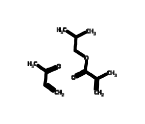 C=C(C)C(=O)OCC(C)C.C=CC(C)=O